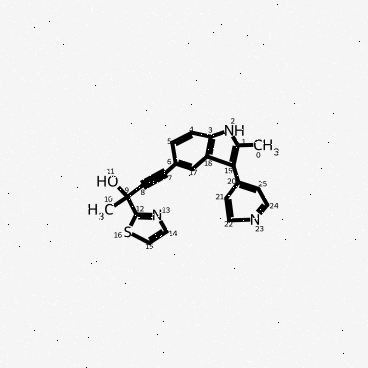 Cc1[nH]c2ccc(C#CC(C)(O)c3nccs3)cc2c1-c1ccncc1